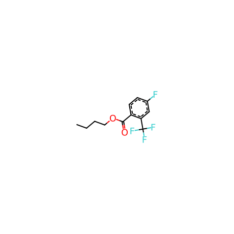 CCCCOC(=O)c1ccc(F)cc1C(F)(F)F